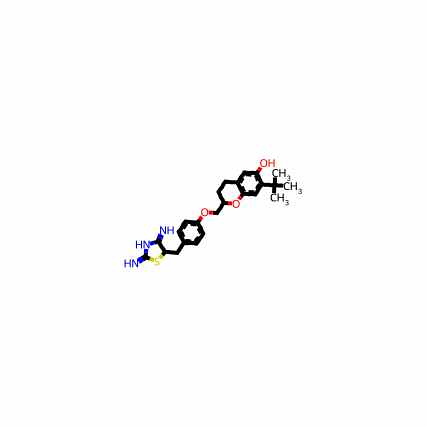 CC(C)(C)c1cc2c(cc1O)CCC(COc1ccc(CC3SC(=N)NC3=N)cc1)O2